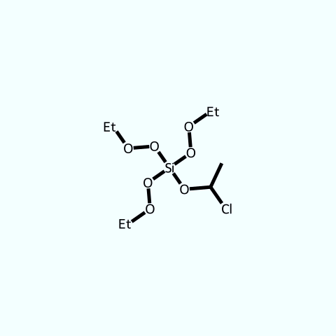 CCOO[Si](OOCC)(OOCC)OC(C)Cl